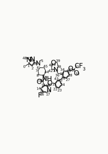 Cc1cc(N(C)[C@H]2CC[C@H](NC(=O)c3cc(F)cnc3Oc3cccc(-c4ccc(OC(=O)C(F)(F)F)cc4CN4CCOCC4)c3)CC2)nn1C